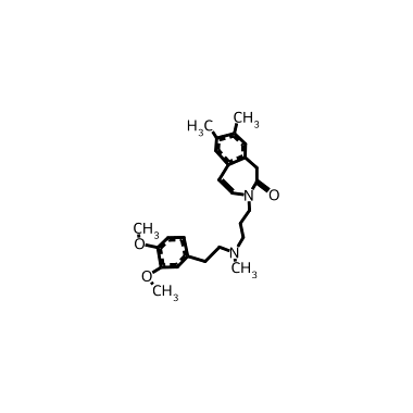 COc1ccc(CCN(C)CCCN2C=Cc3cc(C)c(C)cc3CC2=O)cc1OC